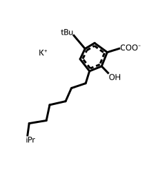 CC(C)CCCCCCc1cc(C(C)(C)C)cc(C(=O)[O-])c1O.[K+]